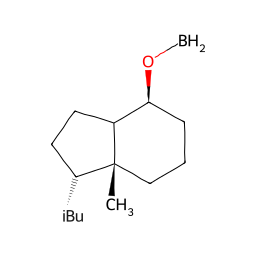 BO[C@H]1CCC[C@@]2(C)C1CCC2[C@@H](C)CC